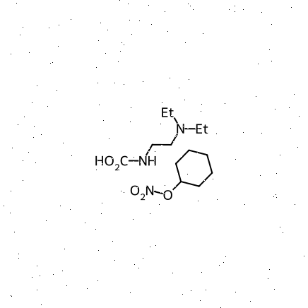 CCN(CC)CCNC(=O)O.O=[N+]([O-])OC1CCCCC1